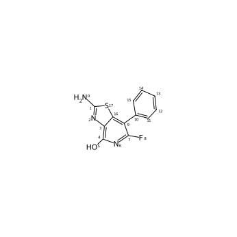 Nc1nc2c(O)nc(F)c(-c3ccccc3)c2s1